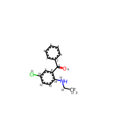 O=C(c1ccccc1)c1cc(Cl)ccc1NCC(F)(F)F